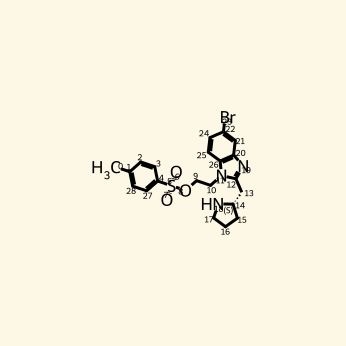 Cc1ccc(S(=O)(=O)OCCn2c(C[C@@H]3CCCN3)nc3cc(Br)ccc32)cc1